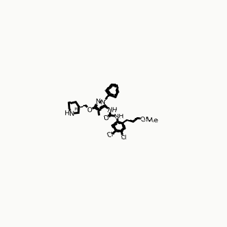 COCCCc1cc(Cl)c(Cl)cc1NC(=O)Nc1c(C)c(OC[C@@H]2CCCNC2)nn1-c1ccccc1